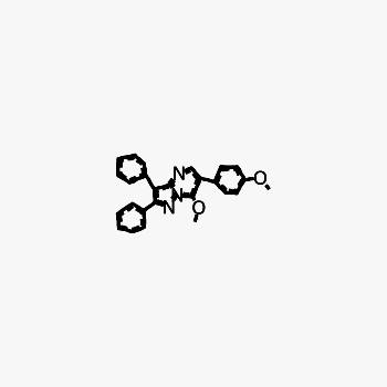 COc1ccc(-c2cnc3c(-c4ccccc4)c(-c4ccccc4)nn3c2OC)cc1